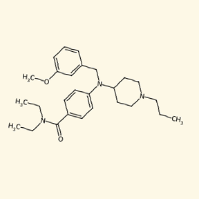 CCCN1CCC(N(Cc2cccc(OC)c2)c2ccc(C(=O)N(CC)CC)cc2)CC1